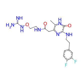 Cc1[nH]c(=O)c(NCCc2ccc(F)c(F)c2)nc1CC(=O)NCCONC(=N)N